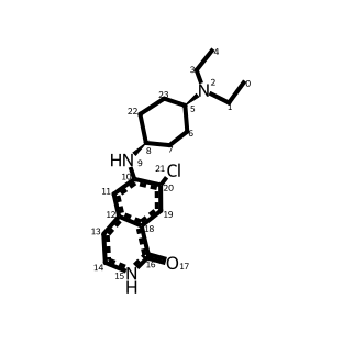 CCN(CC)[C@H]1CC[C@@H](Nc2cc3cc[nH]c(=O)c3cc2Cl)CC1